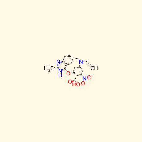 C#CCN(Cc1ccc2nc(C)[nH]c(=O)c2c1)c1ccc(C(=O)O)c([N+](=O)[O-])c1